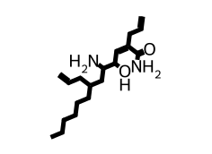 C=CCC(=CC(O)C(N)CC(CC=C)CCCCCC)C(N)=O